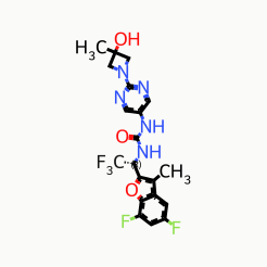 Cc1c([C@@H](NC(=O)Nc2cnc(N3CC(C)(O)C3)nc2)C(F)(F)F)oc2c(F)cc(F)cc12